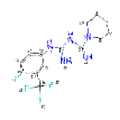 N=C(NC(=N)N1CCCCC1)Nc1ccc(F)c(C(F)(F)F)c1